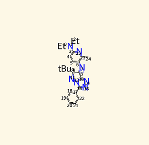 CCN(CC)c1ccc(/N=C2\C(C(C)(C)C)=Nn3c2nnc3-c2ccccc2)c(C)n1